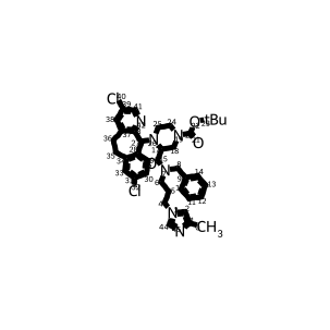 Cc1cn(CCCN(Cc2ccccc2)C(=O)C2CN(C(=O)OC(C)(C)C)CCN2C2c3ccc(Cl)cc3CCc3cc(Cl)cnc32)cn1